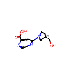 O=C(O)c1cc(N2CC[C@@H](CO)C2)ncn1